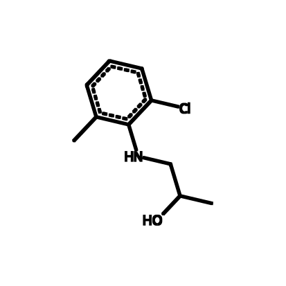 Cc1cccc(Cl)c1NCC(C)O